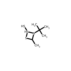 CC1S[SH](S)N1C(C)(C)C